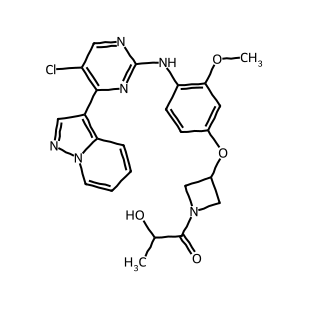 COc1cc(OC2CN(C(=O)C(C)O)C2)ccc1Nc1ncc(Cl)c(-c2cnn3ccccc23)n1